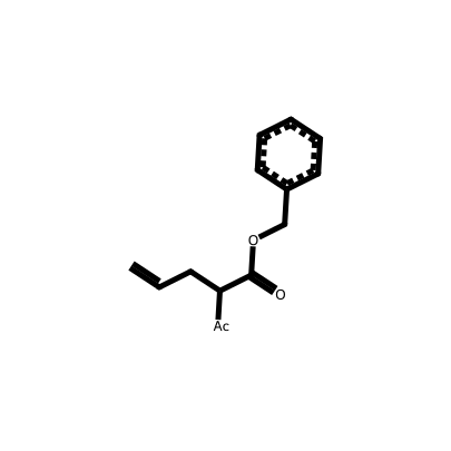 C=CCC(C(C)=O)C(=O)OCc1ccccc1